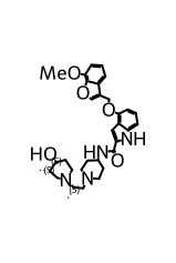 COc1cccc2c(COc3cccc4[nH]c(C(=O)NC5CCN(C[C@H](C)N6CC[C@H](O)[C@@H](C)C6)CC5)cc34)coc12